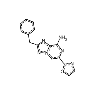 Nc1nc(-c2ncco2)cn2nc(Cc3ccccc3)nc12